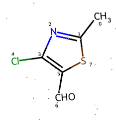 Cc1nc(Cl)c(C=O)s1